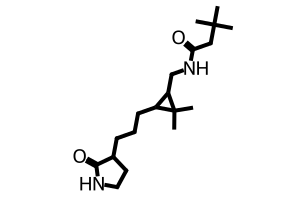 CC(C)(C)CC(=O)NCC1C(CCCC2CCNC2=O)C1(C)C